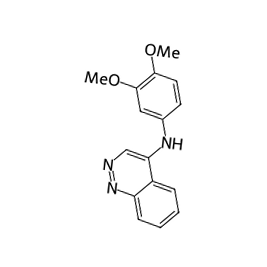 COc1ccc(Nc2cnnc3ccccc23)cc1OC